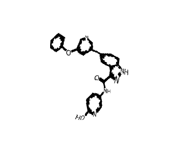 O=C(Nc1ccc(O)nc1)c1n[nH]c2ccc(-c3cncc(Oc4ccccc4)c3)cc12